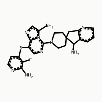 Bc1cnc2c(Sc3ccnc(N)c3Cl)cnc(N3CCC4(CC3)Cc3ncccc3C4N)n12